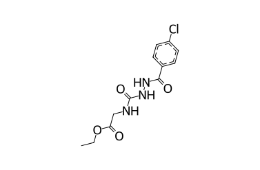 CCOC(=O)CNC(=O)NNC(=O)c1ccc(Cl)cc1